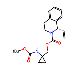 C=C[C@H]1c2ccccc2CCN1C(=O)OCC1(NC(=O)OC(C)(C)C)CC1